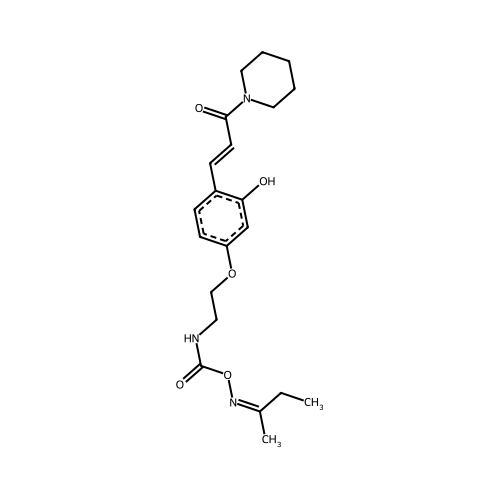 CC/C(C)=N\OC(=O)NCCOc1ccc(/C=C/C(=O)N2CCCCC2)c(O)c1